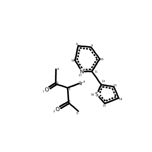 CC(=O)[CH]([Ir])C(C)=O.c1ccc(-c2cccs2)nc1